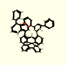 c1ccc(-c2cc(-c3ccccc3)nc(-c3cccc4c3Sc3c(-c5cccc6c(-c7ccccc7)ccnc56)cccc3C43c4ccccc4-c4ccccc43)n2)cc1